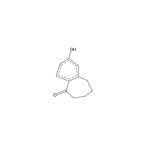 O=C1CCCCc2cc(O)ccc21